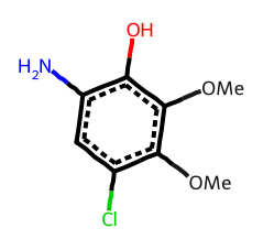 COc1c(Cl)cc(N)c(O)c1OC